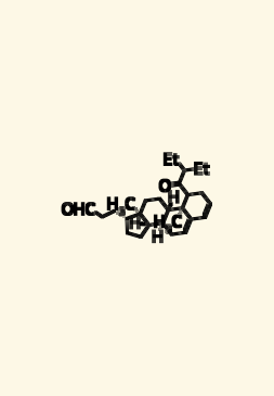 CCC(CC)C(=O)C1CC=CC2=CC[C@H]3[C@@H]4CC[C@H](CCC=O)[C@@]4(C)CC[C@@H]3[C@]21C